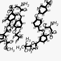 CC(C)(C)c1nnc(-c2ccc3c(c2)N(Cc2ccc(Oc4ccc(C(F)(F)F)cn4)cc2)C(=O)[C@@H](N)CS3(=O)=O)o1.COC(=O)N1CC2CC(c3nc(-c4cc5c(cc4F)S(=O)(=O)C[C@H](N)C(=O)N5Cc4ccc(OC(F)(F)C(F)F)cc4)no3)(C2)C1